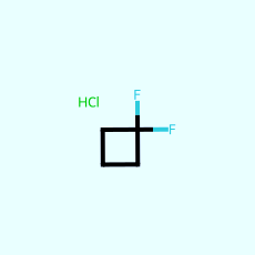 Cl.FC1(F)CCC1